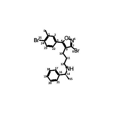 Cc1cc(-c2onc(Br)c2CCCN[C@@H](C)c2ccccc2)ccc1Br